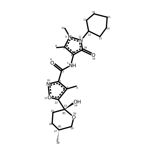 Cc1c(C(=O)Nc2c(C)n(C)n(C3CCCCC3)c2=O)noc1[C@@]1(O)CC[C@@H](C)CO1